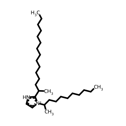 CCCCCCCCCCCCCC(C)c1[nH]cc[n+]1C(C)CCCCCCCCC